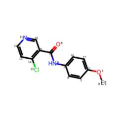 CCOc1ccc(NC(=O)c2cnccc2Cl)cc1